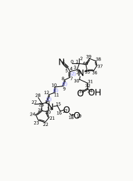 CC1(C)C(/C(C#N)=C/C=C/C=C/C=C2\N(CCOC=O)c3ccccc3C2(C)C)=[N+](CCC(=O)O)c2ccccc21